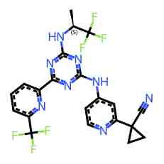 C[C@H](Nc1nc(Nc2ccnc(C3(C#N)CC3)c2)nc(-c2cccc(C(F)(F)F)n2)n1)C(F)(F)F